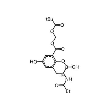 CCC(=O)N[C@H]1Cc2cc(O)cc(C(=O)OCOC(=O)C(C)(C)C)c2OB1O